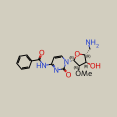 CO[C@@H]1[C@H](O)[C@@H](CN)O[C@H]1n1ccc(NC(=O)c2ccccc2)nc1=O